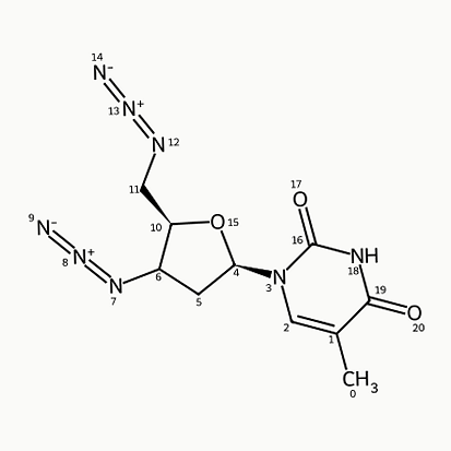 Cc1cn([C@H]2CC(N=[N+]=[N-])[C@@H](CN=[N+]=[N-])O2)c(=O)[nH]c1=O